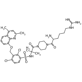 Cc1cc(C)c2cccc(OCc3c(Cl)ccc(S(=O)(=O)NC(C)(C)C(=O)N4CCN(C(=O)C(N)CCCCNC(=N)N)CC4)c3Cl)c2n1